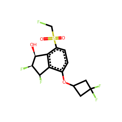 O=S(=O)(CF)c1ccc(OC2CC(F)(F)C2)c2c1[C@H](O)[C@H](F)[C@@H]2F